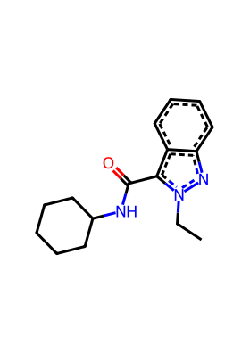 CCn1nc2ccccc2c1C(=O)NC1CCCCC1